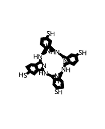 Sc1ccc2c(c1)C1=NC2Nc2[nH]c(c3cc(S)ccc23)NC2N=C(NC3NC(N1)c1cc(S)ccc13)c1ccc(S)cc12